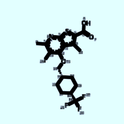 Cc1nc2sc(C(=O)O)c(C)c2c(OC[C@H]2CC[C@H](C(F)(F)F)CC2)c1I